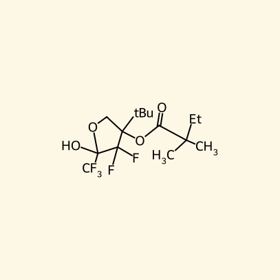 CCC(C)(C)C(=O)OC1(C(C)(C)C)COC(O)(C(F)(F)F)C1(F)F